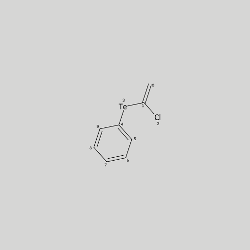 C=C(Cl)[Te]c1ccccc1